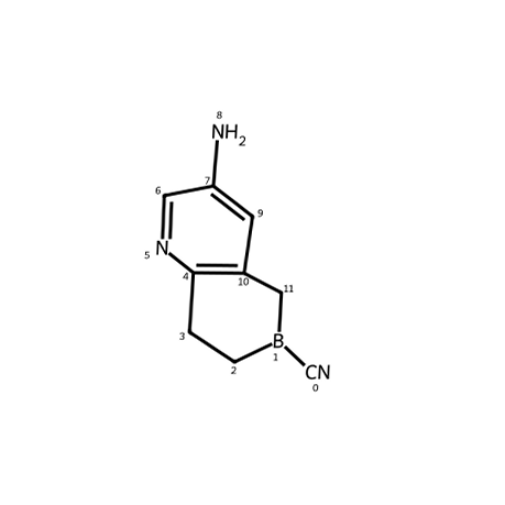 N#CB1CCc2ncc(N)cc2C1